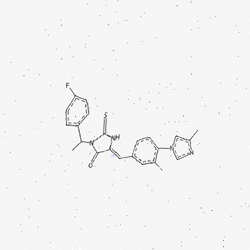 Cc1cn(-c2ccc(/C=C3\NC(=S)N(C(C)c4ccc(F)cc4)C3=O)cc2C)cn1